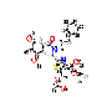 COc1cc(C(=O)N(CCCc2ccccc2)Cc2nc(C(=O)OC(C)(C)C)c(COC(C)=O)s2)cc(OC)c1C